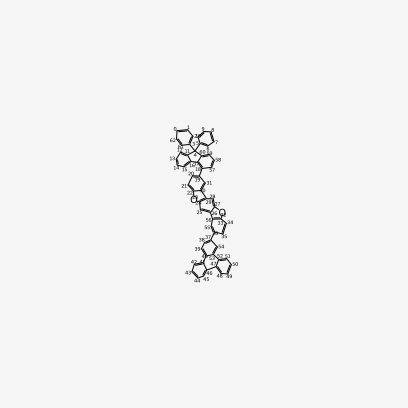 c1ccc(C2(c3ccccc3)c3ccccc3-c3c(-c4ccc5oc6cc7c(cc6c5c4)oc4ccc(-c5ccc6c8ccccc8c8ccccc8c6c5)cc47)cccc32)cc1